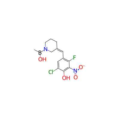 CB(O)N1CCCC(=Cc2cc(Cl)c(O)c([N+](=O)[O-])c2F)C1